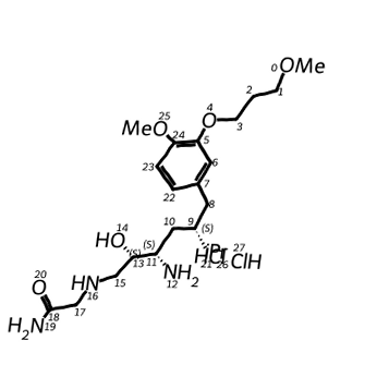 COCCCOc1cc(C[C@@H](C[C@H](N)[C@@H](O)CNCC(N)=O)C(C)C)ccc1OC.Cl.Cl